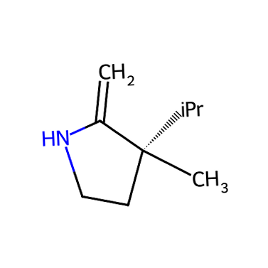 C=C1NCC[C@@]1(C)C(C)C